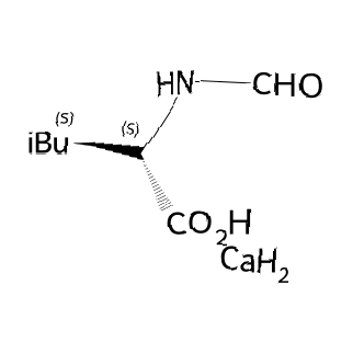 CC[C@H](C)[C@H](NC=O)C(=O)O.[CaH2]